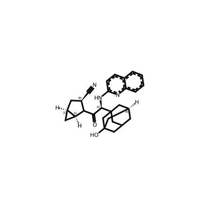 N#C[C@@H]1C[C@@H]2C[C@@H]2C1C(=O)[C@@H](Nc1ccc2ccccc2n1)C12CC3C[C@@H](CC(O)(C3)C1)C2